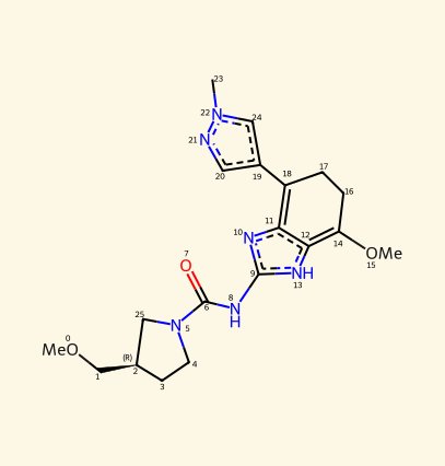 COC[C@@H]1CCN(C(=O)Nc2nc3c([nH]2)=C(OC)CCC=3c2cnn(C)c2)C1